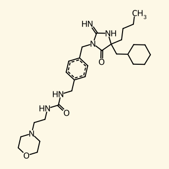 CCCCC1(CC2CCCCC2)NC(=N)N(Cc2ccc(CNC(=O)NCCN3CCOCC3)cc2)C1=O